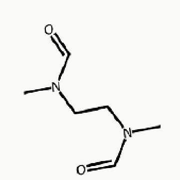 CN(C=O)CCN(C)C=O